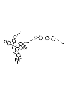 CCCCC[C@H]1CC[C@H](c2ccc(-c3ccc(OCCCCCCOc4cccc5c4c(Br)cc4c6c(c7c(c45)OC(c4ccc(OC)cc4)(c4ccc(OCCCC)cc4)C=C7)C(C)(C)c4cc(C(F)(F)F)ccc4-6)cc3)cc2)CC1